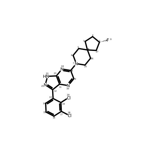 F[C@H]1CCC2(CCN(c3cnc4c(-c5cccc(Cl)c5Cl)n[nH]c4n3)CC2)C1